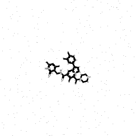 Cc1cc(C)c(CNC(=O)c2cc3c(-c4ccc(C)c(C)c4)ccn3c(C(C)N3CCOCC3)c2C)c(=O)[nH]1